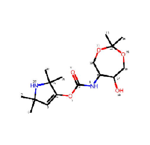 CC1(C)C=C(OC(=O)NC2COC(C)(C)OCC2O)C(C)(C)N1